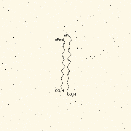 CCCCC/C=C/C/C=C/CCCCCCCC(=O)O.CCCSCC=CCC=CC/C=C/CCCCC(=O)O